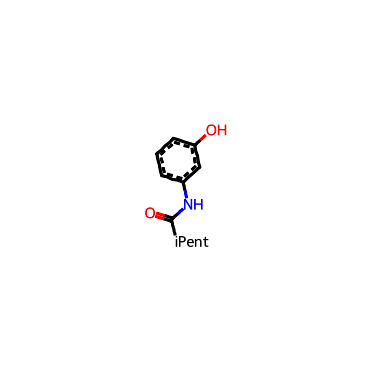 CCCC(C)C(=O)Nc1cccc(O)c1